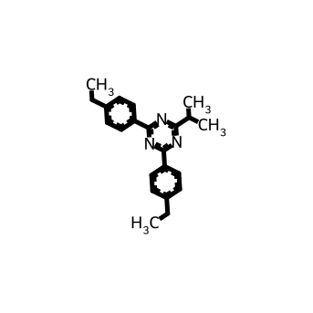 CCc1ccc(-c2nc(-c3ccc(CC)cc3)nc(C(C)C)n2)cc1